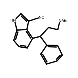 [C-]#[N+]c1c[nH]c2cccc(C(CCNC)c3ccccc3)c12